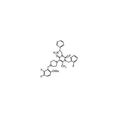 COc1ccc(F)c(F)c1CN1CCN(c2c(C)n(Cc3c(F)cccc3F)c(=O)n(CC(N)c3ccccc3)c2=O)CC1